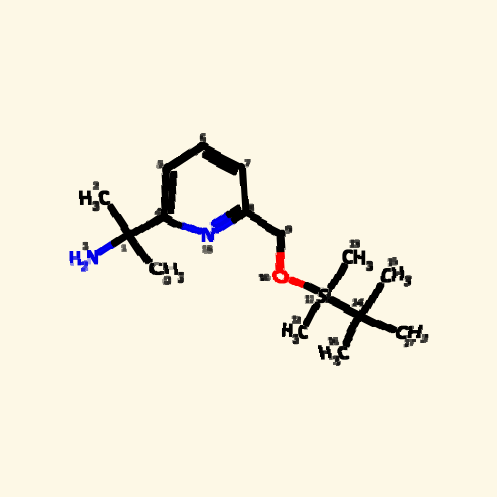 CC(C)(N)c1cccc(CO[Si](C)(C)C(C)(C)C)n1